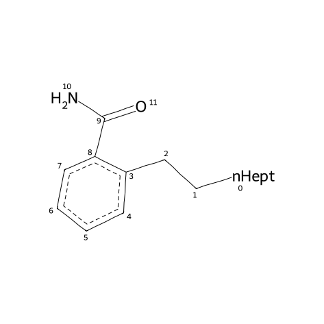 CCCCCCCCCc1ccccc1C(N)=O